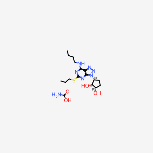 CCCCNc1nc(SCCC)nc2c1nnn2[C@@H]1CC[C@@H](O)[C@H]1O.NC(=O)O